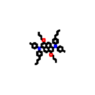 CCCCOc1cc(N(c2ccc(C)cc2)c2ccc(CCCC)cc2)c2ccc3c(OCCCC)cc(N(c4ccc(C)cc4)c4ccc(CCCC)cc4)c4ccc1c2c34